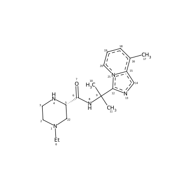 CCN1CCN[C@H](C(=O)NC(C)(C)c2ncc3c(C)cccn23)C1